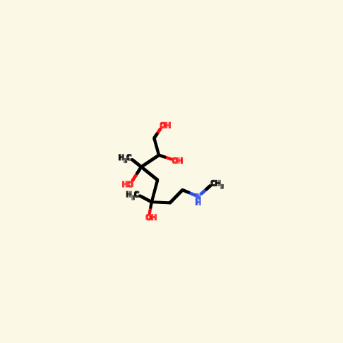 CNCCC(C)(O)CC(C)(O)C(O)CO